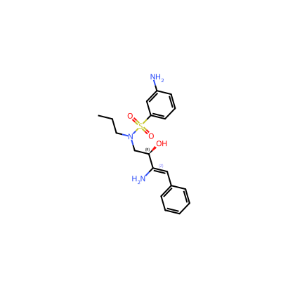 CCCN(C[C@@H](O)/C(N)=C/c1ccccc1)S(=O)(=O)c1cccc(N)c1